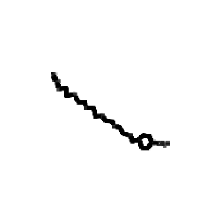 [N-]=[N+]=NCCOCCOCCOCCOCCOCN1CCN(C(=O)O)CC1